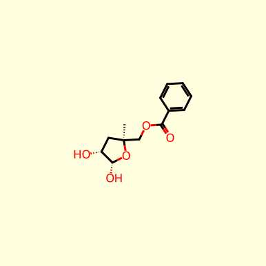 C[C@@]1(COC(=O)c2ccccc2)C[C@@H](O)[C@@H](O)O1